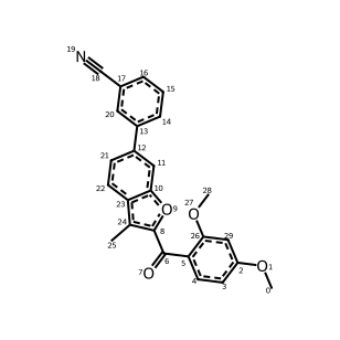 COc1ccc(C(=O)c2oc3cc(-c4cccc(C#N)c4)ccc3c2C)c(OC)c1